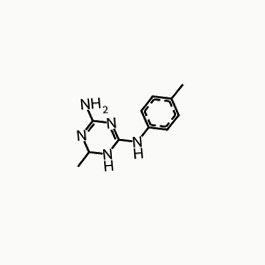 Cc1ccc(NC2=NC(N)=NC(C)N2)cc1